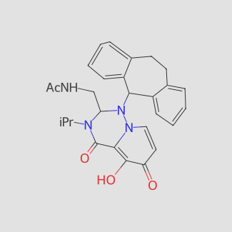 CC(=O)NCC1N(C(C)C)C(=O)c2c(O)c(=O)ccn2N1C1c2ccccc2CCc2ccccc21